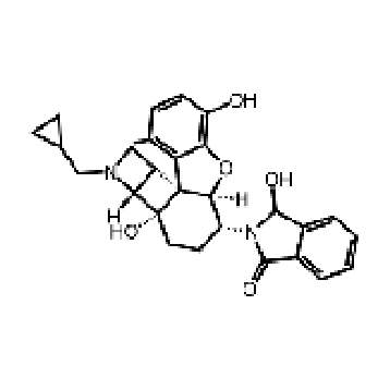 Cc1ccc(O)c2c1[C@]13C4CN(CC5CC5)[C@H]4[C@]1(O)CC[C@@H](N1C(=O)c4ccccc4C1O)[C@@H]3O2